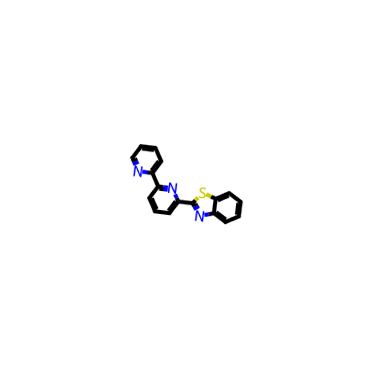 c1ccc(-c2cccc(-c3nc4ccccc4s3)n2)nc1